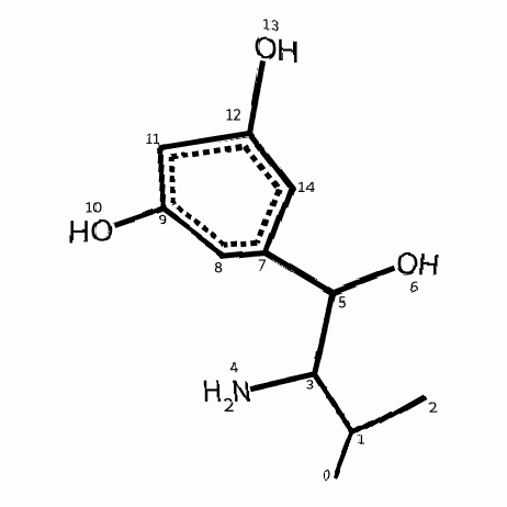 CC(C)C(N)C(O)c1cc(O)cc(O)c1